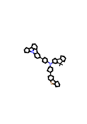 CC1(C)c2ccccc2-c2ccc(N(c3ccc(-c4ccc5sc6ccccc6c5c4)cc3)c3ccc(-c4ccc5c(c4)c4cccc6c7ccccc7n5c64)cc3)cc21